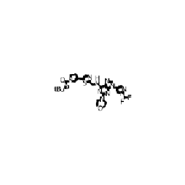 CC(C)(C)OC(=O)N1C=C(c2cnc(CNc3nc(N4CCOCC4)nc4c3ncn4-c3cnn(C(F)F)c3)s2)CC1